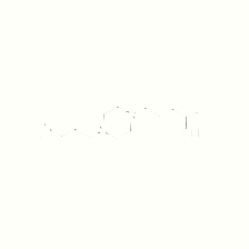 CC(C)CCCN1CCN(CCCN)CC1